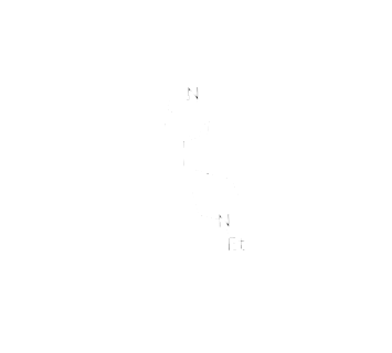 CCN1CCC2(CC1)Cc1ccncc1C2